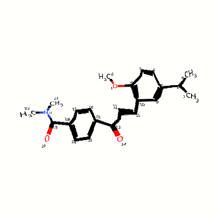 COc1ccc(C(C)C)cc1C=CC(=O)c1ccc(C(=O)N(C)C)cc1